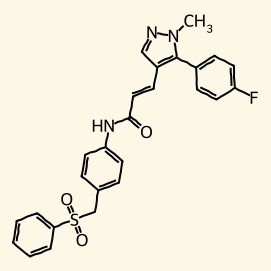 Cn1ncc(/C=C/C(=O)Nc2ccc(CS(=O)(=O)c3ccccc3)cc2)c1-c1ccc(F)cc1